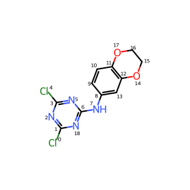 Clc1nc(Cl)nc(Nc2ccc3c(c2)OCCO3)n1